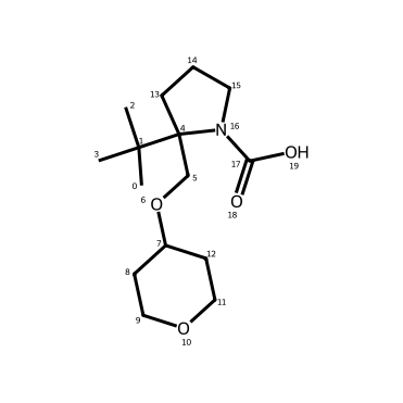 CC(C)(C)C1(COC2CCOCC2)CCCN1C(=O)O